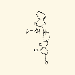 Clc1cc(Cl)c(Cl)c(CN2CCN(c3nc4ccccc4nc3NC3CC3)CC2)c1